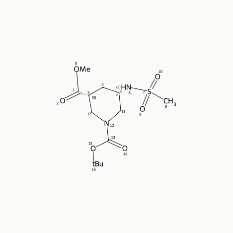 COC(=O)[C@@H]1C[C@H](NS(C)(=O)=O)CN(C(=O)OC(C)(C)C)C1